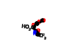 O=C(CC(CCn1nnc2ccc(C(F)(F)F)cc2c1=O)C(=O)O)c1ccc(OCC2CCOC2)cc1